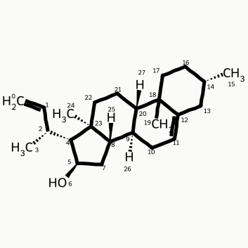 C=C[C@@H](C)[C@H]1[C@H](O)C[C@H]2[C@@H]3CC=C4C[C@@H](C)CCC4(C)[C@H]3CC[C@]12C